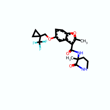 Cc1oc2ccc(OCC3(C(F)(F)F)CC3)cc2c1C(=O)NC1(C)CCCNC1=O